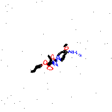 CCCCOC(=O)c1nc(N2CC[C@@H](N)[C@@H](OCC)C2)oc1C